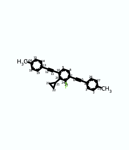 Cc1ccc(C#Cc2ccc(C#Cc3ccc(C)cc3)c(C3CC3)c2F)cc1